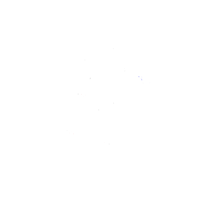 CCOC(=O)c1cc2c(N)c(C)ccc2o1